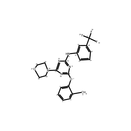 Cc1ccccc1Oc1nc(Nc2cccc(C(F)(F)F)c2)nc(N2CCOCC2)n1